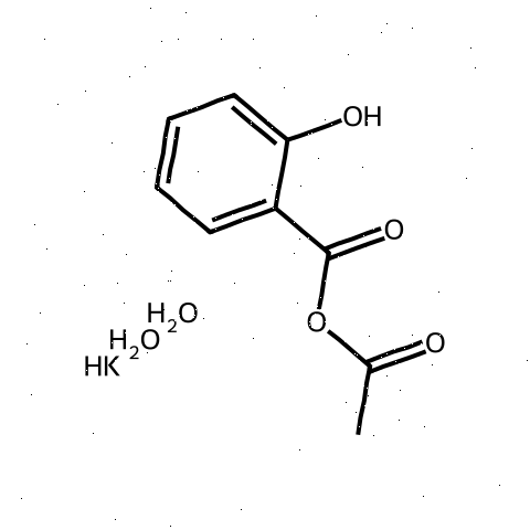 CC(=O)OC(=O)c1ccccc1O.O.O.[KH]